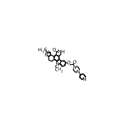 CCn1c2ccc(OCC(=O)N3CCN(c4ccncc4)CC3)cc2c2c3c(c4c(c21)CCc1nn(C)cc1-4)C(=O)NC3